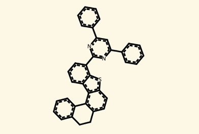 c1ccc(-c2cc(-c3ccccc3)nc(-c3cccc4c3sc3ccc5c(c34)-c3ccccc3CC5)n2)cc1